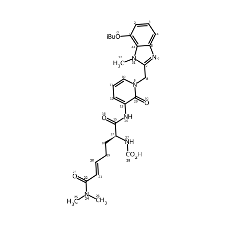 CC(C)COc1cccc2nc(Cn3cccc(NC(=O)[C@H](CC/C=C/C(=O)N(C)C)NC(=O)O)c3=O)n(C)c12